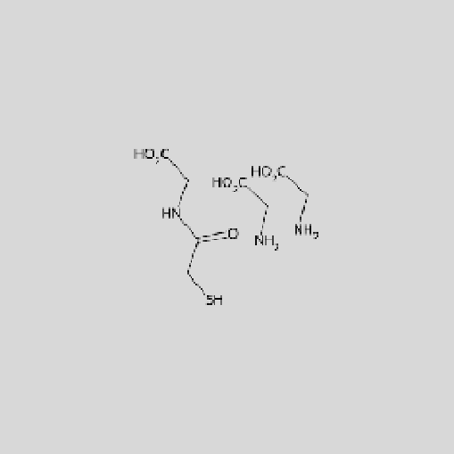 NCC(=O)O.NCC(=O)O.O=C(O)CNC(=O)CS